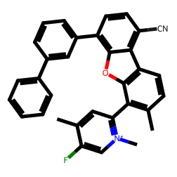 Cc1cc(-c2c(C)ccc3c2oc2c(-c4cccc(-c5ccccc5)c4)ccc(C#N)c23)[n+](C)cc1F